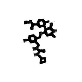 COC(=O)c1ccc(C)c(-c2c(OCc3ccc(F)cc3CNC(=O)NC3CCC3)cc(C)[nH]c2=O)c1